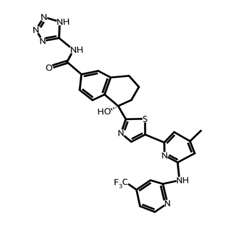 Cc1cc(Nc2cc(C(F)(F)F)ccn2)nc(-c2cnc([C@]3(O)CCCc4cc(C(=O)Nc5nnn[nH]5)ccc43)s2)c1